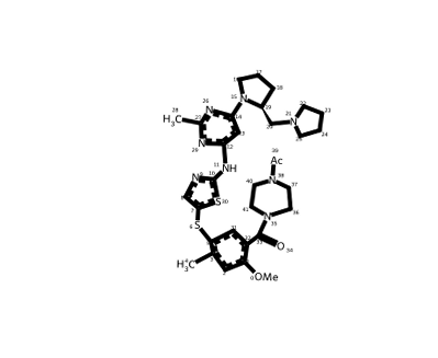 COc1cc(C)c(Sc2cnc(Nc3cc(N4CCC[C@H]4CN4CCCC4)nc(C)n3)s2)cc1C(=O)N1CCN(C(C)=O)CC1